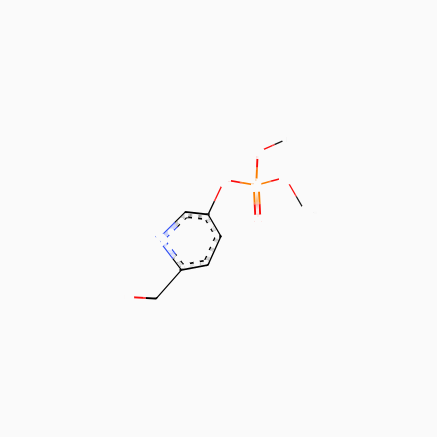 CC(C)(C)OP(=O)(Oc1ccc(CO)nc1)OC(C)(C)C